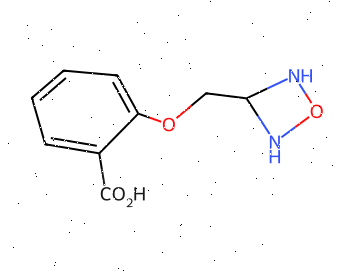 O=C(O)c1ccccc1OCC1NON1